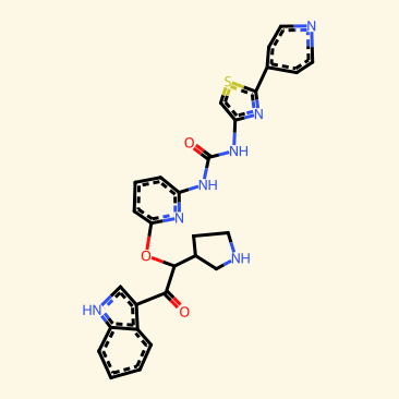 O=C(Nc1cccc(OC(C(=O)c2c[nH]c3ccccc23)C2CCNC2)n1)Nc1csc(-c2ccncc2)n1